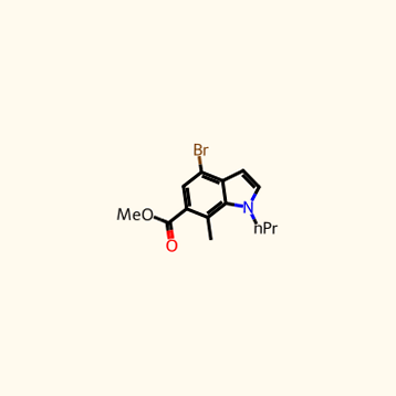 CCCn1ccc2c(Br)cc(C(=O)OC)c(C)c21